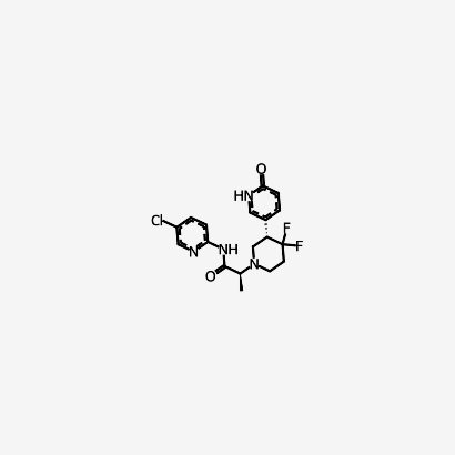 C[C@@H](C(=O)Nc1ccc(Cl)cn1)N1CCC(F)(F)[C@@H](c2ccc(=O)[nH]c2)C1